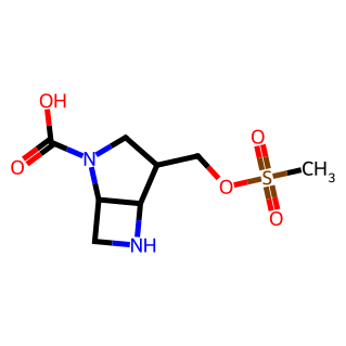 CS(=O)(=O)OCC1CN(C(=O)O)C2CNC12